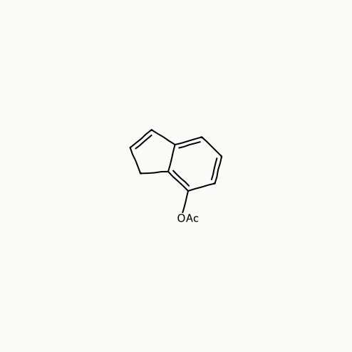 CC(=O)Oc1cccc2c1CC=C2